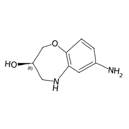 Nc1ccc2c(c1)NC[C@@H](O)CO2